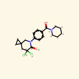 O=C(c1ccc(N2CC3(CC3)CC(Cl)(Cl)C2=O)cc1)N1CCCCC1